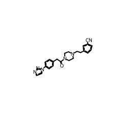 N#Cc1cccc(CCN2CCN(C(=O)Cc3ccc(-n4ccnn4)cc3)CC2)c1